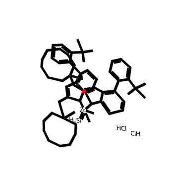 CC1(CC2=Cc3c(-c4ccccc4C(C)(C)C)cccc3[CH]2[Zr]([CH3])([CH3])(=[SiH2])[CH]2C(CC3(C)CCCCCCCC3)=Cc3c(-c4ccccc4C(C)(C)C)cccc32)CCCCCCCC1.Cl.Cl